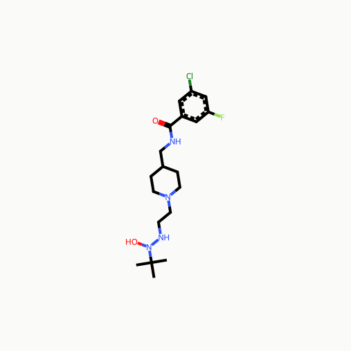 CC(C)(C)N(O)NCCN1CCC(CNC(=O)c2cc(F)cc(Cl)c2)CC1